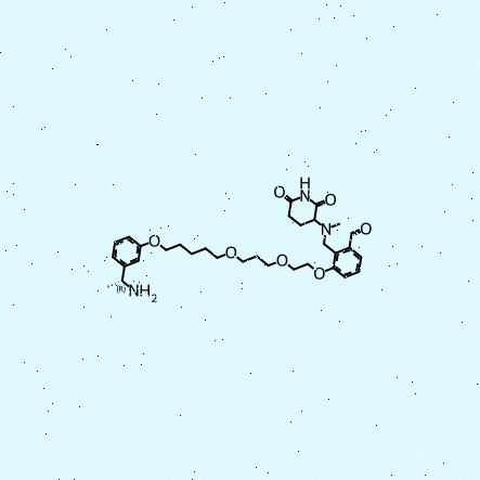 C[C@@H](N)c1cccc(OCCCCCOCCCOCCOc2cccc(C=O)c2CN(C)C2CCC(=O)NC2=O)c1